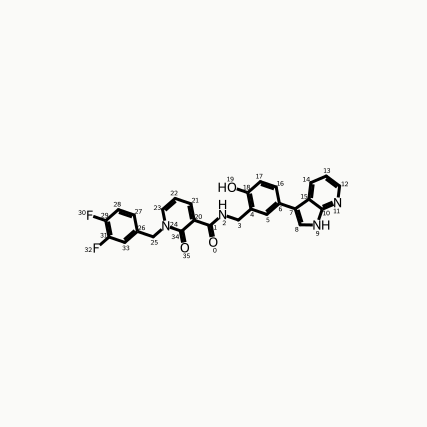 O=C(NCc1cc(-c2c[nH]c3ncccc23)ccc1O)c1cccn(Cc2ccc(F)c(F)c2)c1=O